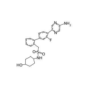 Nc1cnc(-c2ccc(-c3ccccc3CS(=O)(=O)NC3CCC(O)CC3)cc2F)cn1